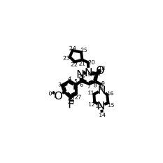 COc1ccc(-c2cc(CN3CCN(C)CC3)c(=O)n(CC3CCCC3)n2)cc1F